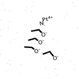 CC[O-].CC[O-].CC[O-].CC[O-].[N].[Pt+4]